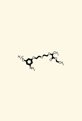 CCOC(=O)C(C)OCCOCCOc1cc(N)cc(OC)c1